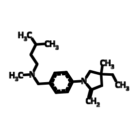 C=C1CC(C)(CC)CN1c1ccc(CN(C)CCC(C)C)cc1